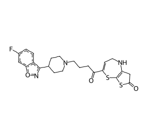 O=C1CC2=C(S1)SC(C(=O)CCCN1CCC(c3noc4cc(F)ccc34)CC1)=CCN2